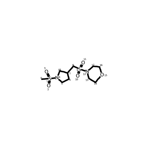 CS(=O)(=O)N1CCC(CS(=O)(=O)N2CCOCC2)C1